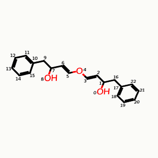 OC(C=COC=CC(O)Cc1ccccc1)Cc1ccccc1